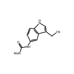 CNC(=O)Nc1ccc2[nH]cc(CC#N)c2c1